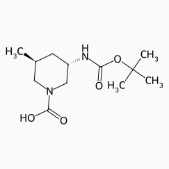 C[C@H]1C[C@H](NC(=O)OC(C)(C)C)CN(C(=O)O)C1